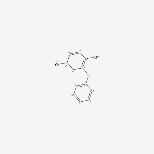 ClC1=C(Oc2ccccc2)CC(Cl)C=C1